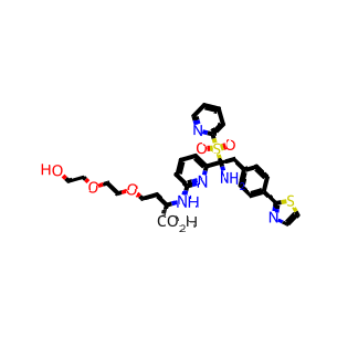 NC(Cc1ccc(-c2nccs2)cc1)(c1cccc(NC(CCOCCOCCO)C(=O)O)n1)S(=O)(=O)c1ccccn1